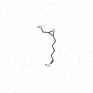 C=CCCCCC1OC1CO